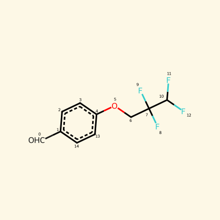 O=Cc1ccc(OCC(F)(F)C(F)F)cc1